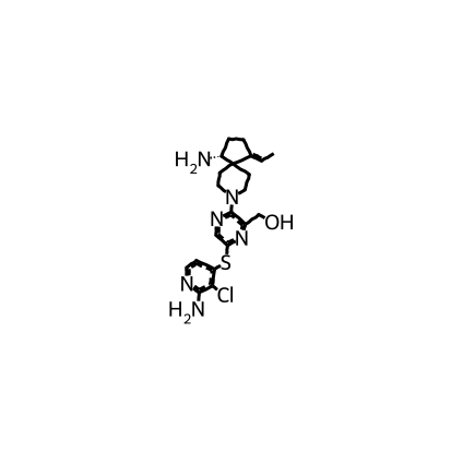 C/C=C1\CC[C@@H](N)C12CCN(c1ncc(Sc3ccnc(N)c3Cl)nc1CO)CC2